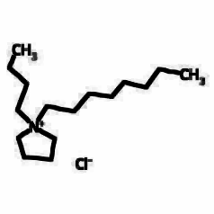 CCCCCCCC[N+]1(CCCC)CCCC1.[Cl-]